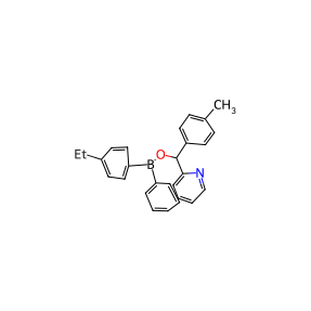 CCc1ccc(B(OC(c2ccc(C)cc2)c2ccccn2)c2ccccc2)cc1